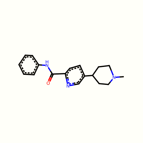 CN1CCC(c2ccc(C(=O)Nc3ccccc3)nc2)CC1